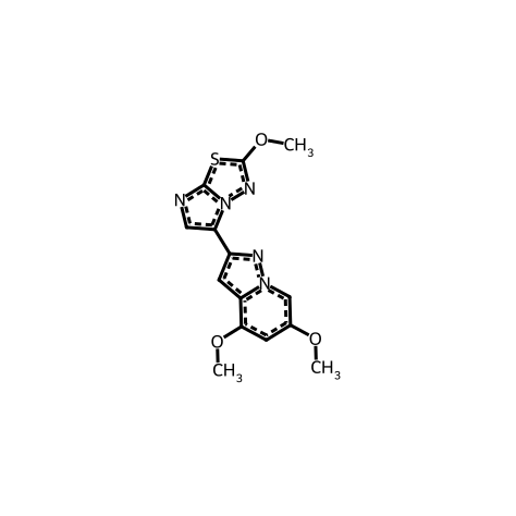 COc1cc(OC)c2cc(-c3cnc4sc(OC)nn34)nn2c1